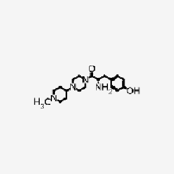 CN1CCC(N2CCN(C(=O)[C@@H](N)Cc3ccc(O)cc3)CC2)CC1